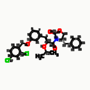 CC(C)O[C@@H](Cc1cccc(OCc2ccc(Cl)cc2Cl)c1)C(=O)N1C(=O)OC[C@@H]1Cc1ccccc1